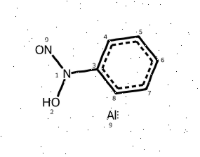 O=NN(O)c1ccccc1.[Al]